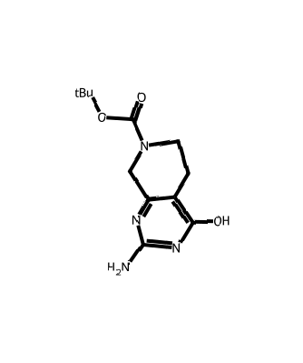 CC(C)(C)OC(=O)N1CCc2c(O)nc(N)nc2C1